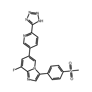 CS(=O)(=O)c1ccc(-c2cnc3c(F)cc(-c4ccc(-c5nnn[nH]5)nc4)cn23)cc1